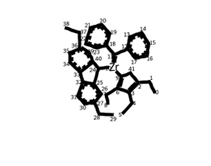 CCC1=C(CC)C(CC)=[C]([Zr](=[C](c2ccccc2)c2ccccc2)[CH]2c3cc(CC)ccc3-c3ccc(CC)cc32)C1